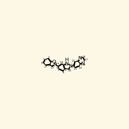 c1ccc2o[n+](-c3ccc4c[n+](-c5ccc6nccnc6c5)[nH]c4c3)cc2c1